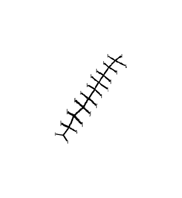 IC(I)C(I)(I)C(I)(I)C(I)(I)C(I)(I)C(I)(I)C(I)(I)C(I)(I)C(I)(I)C(I)(I)I